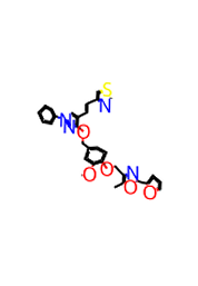 COc1cc(COc2nn(-c3ccccc3)cc2C=Cc2cscn2)ccc1OCc1nc(-c2ccco2)oc1C